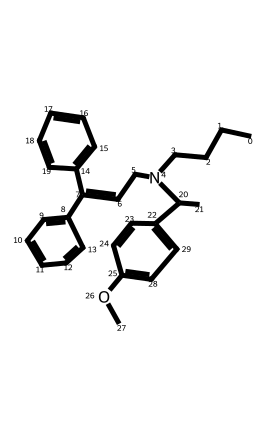 CCCCN(CC=C(c1ccccc1)c1ccccc1)C(C)c1ccc(OC)cc1